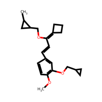 COc1ccc(/C=C/C(OCC2CC2C)=C2CCC2)cc1OCC1CC1